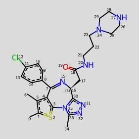 Cc1sc2c(c1C)C(c1ccc(Cl)cc1)=N[C@@H](CC(=O)NCCCN1CCNCC1)c1nnc(C)n1-2